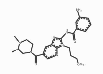 COCCCn1c(NC(=O)c2cccc(N)c2)nc2cc(C(=O)N3CCN(C)[C@H](C)C3)cnc21